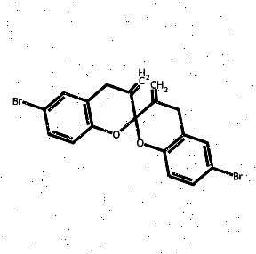 C=C1Cc2cc(Br)ccc2OC12Oc1ccc(Br)cc1CC2=C